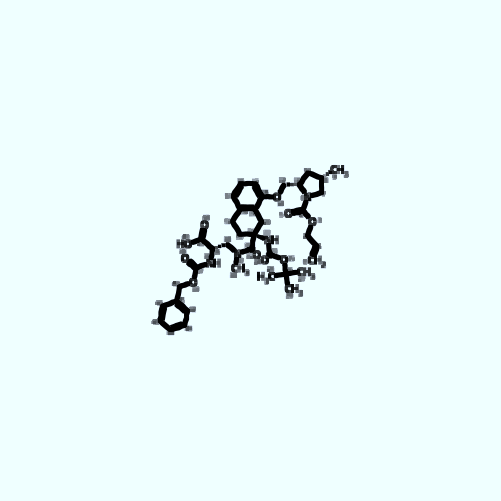 C=CCOC(=O)N1C[C@@H](C)C[C@H]1COc1cccc2c1C[C@](NC(=O)OC(C)(C)C)(C(=O)N(C)C[C@H](NC(=O)OCc1ccccc1)C(=O)O)CC2